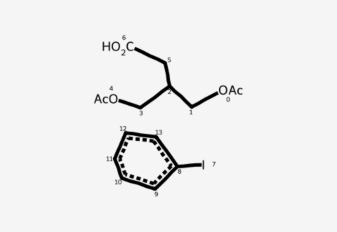 CC(=O)OCC(COC(C)=O)CC(=O)O.Ic1ccccc1